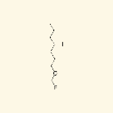 CCCC(I)CCCOCF